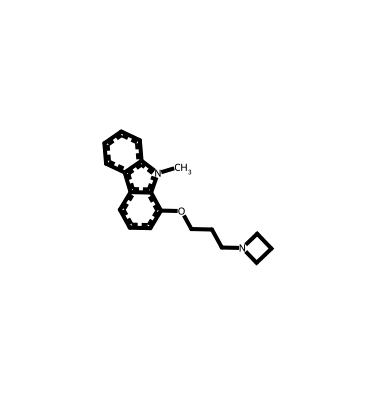 Cn1c2ccccc2c2cccc(OCCCN3CCC3)c21